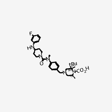 C[C@H]1CN(Cc2ccc(N(C)C(=O)N3CCC(Nc4cccc(F)c4)CC3)cc2)C[C@@](C)(C(C)(C)C)N1C(=O)O